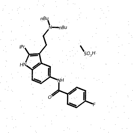 CCCCN(CCCC)CCc1c(C(C)C)[nH]c2ccc(NC(=O)c3ccc(F)cc3)cc12.CS(=O)(=O)O